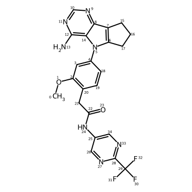 COc1cc(-n2c3c(c4ncnc(N)c42)CCC3)ccc1CC(=O)Nc1cnc(C(F)(F)F)nc1